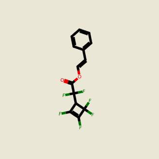 O=C(OC=Cc1ccccc1)C(F)(F)C1C(F)=C(F)C1(F)F